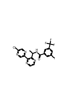 CC(NC(=O)c1cc(I)cc(C(F)(F)F)c1)c1nccnc1-c1cnc(Cl)cn1